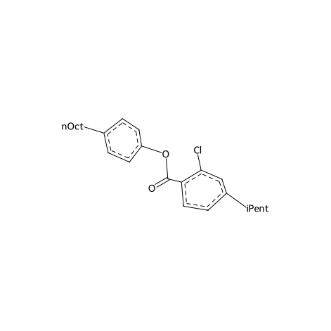 CCCCCCCCc1ccc(OC(=O)c2ccc(C(C)CCC)cc2Cl)cc1